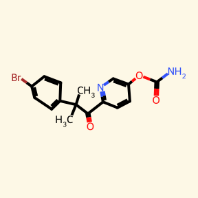 CC(C)(C(=O)c1ccc(OC(N)=O)cn1)c1ccc(Br)cc1